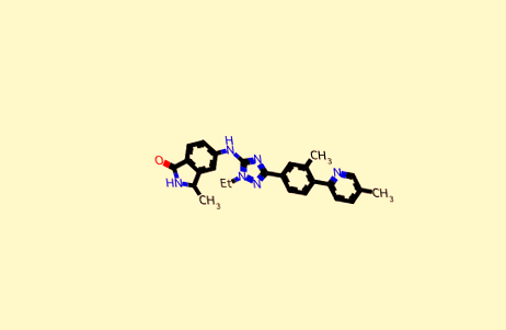 CCn1nc(-c2ccc(-c3ccc(C)cn3)c(C)c2)nc1Nc1ccc2c(c1)C(C)NC2=O